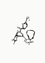 Cc1nc2c(Nc3ccccc3S(C)(=O)=O)cc(Nc3cccc(C(F)(F)F)n3)nc2[nH]1